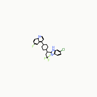 Fc1ccc2nccc(C3CCC(C(CC(F)(F)F)c4nc5ccc(Cl)cc5[nH]4)CC3)c2c1